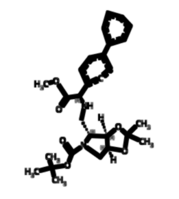 COC(=O)[C@H](NC[C@@H]1[C@H]2OC(C)(C)O[C@H]2CN1C(=O)OC(C)(C)C)c1ccc(-c2ccccc2)cc1